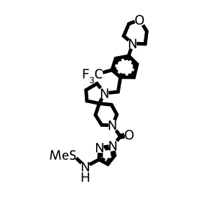 CSNc1ccn(C(=O)N2CCC3(CCCN3Cc3ccc(N4CCOCC4)cc3C(F)(F)F)CC2)n1